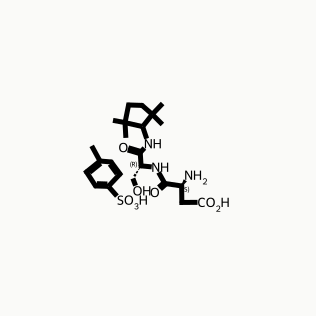 CC1(C)CCC(C)(C)C1NC(=O)[C@@H](CO)NC(=O)[C@@H](N)CC(=O)O.Cc1ccc(S(=O)(=O)O)cc1